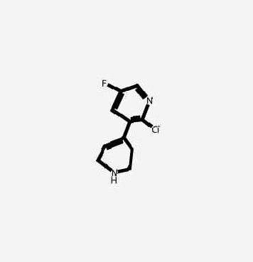 Fc1cnc(Cl)c(C2=CCNCC2)c1